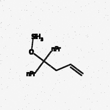 C=CCC(CCC)(CCC)O[SiH3]